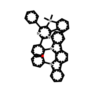 C[Si]1(C)c2ccccc2-c2nc(-c3ccccc3-n3c4ccccc4c4ccc5c6ccccc6n(-c6ccccc6)c5c43)nc(-c3ccccc3)c21